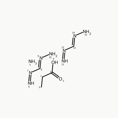 CCC(=O)O.N.N=NC=NN.N=NC=NN